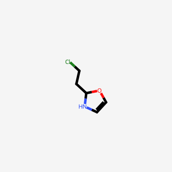 ClCCC1NC=CO1